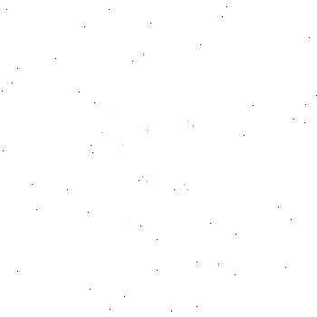 Cc1nc2c(N3CCOCC3)nc(C(F)(F)F)cn2c1Br